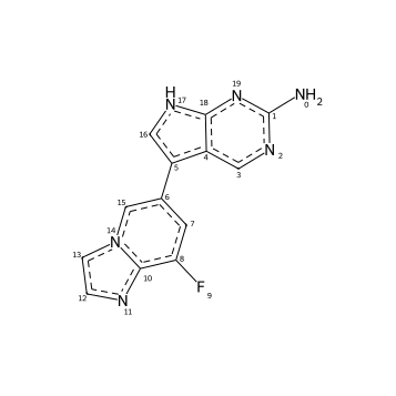 Nc1ncc2c(-c3cc(F)c4nccn4c3)c[nH]c2n1